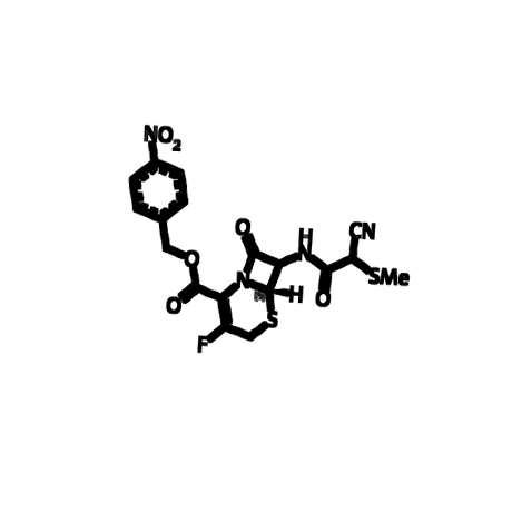 CSC(C#N)C(=O)NC1C(=O)N2C(C(=O)OCc3ccc([N+](=O)[O-])cc3)=C(F)CS[C@@H]12